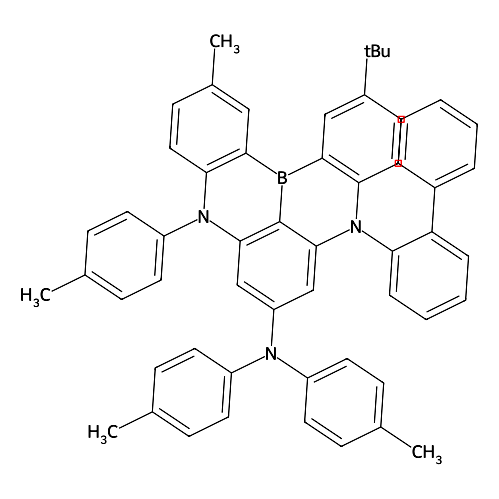 Cc1ccc(N(c2ccc(C)cc2)c2cc3c4c(c2)N(c2ccccc2-c2ccccc2)c2ccc(C(C)(C)C)cc2B4c2cc(C)ccc2N3c2ccc(C)cc2)cc1